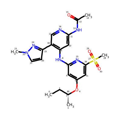 CC[C@@H](C)Oc1cc(Nc2cc(NC(C)=O)ncc2-c2ccn(C)n2)nc(S(C)(=O)=O)c1